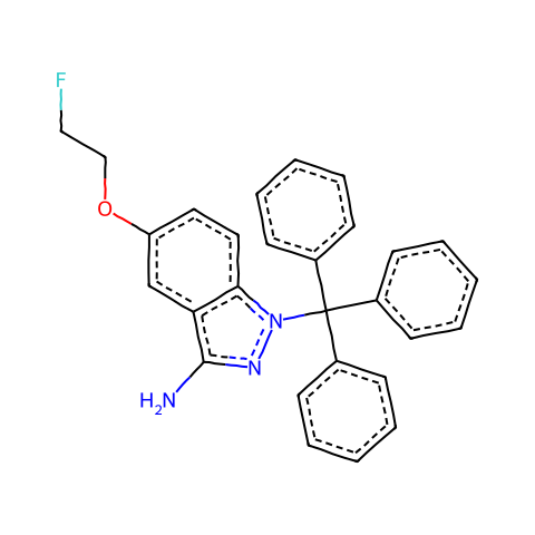 Nc1nn(C(c2ccccc2)(c2ccccc2)c2ccccc2)c2ccc(OCCF)cc12